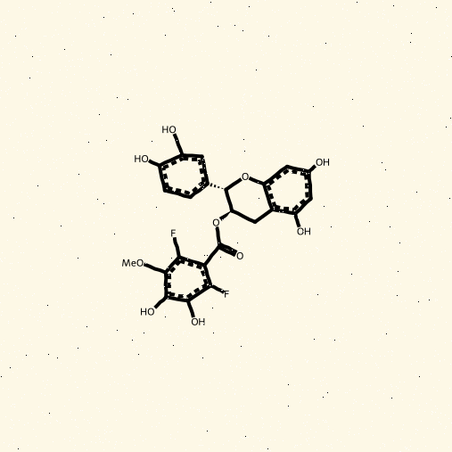 COc1c(O)c(O)c(F)c(C(=O)O[C@@H]2Cc3c(O)cc(O)cc3O[C@H]2c2ccc(O)c(O)c2)c1F